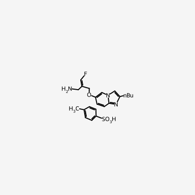 CCCCc1cn2cc(OC/C(=C\F)CN)ccc2n1.Cc1ccc(S(=O)(=O)O)cc1